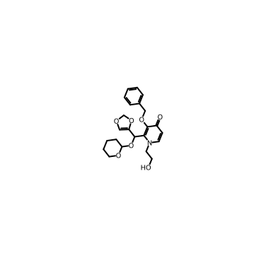 O=c1ccn(CCO)c(C(OC2CCCCO2)C2=COCO2)c1OCc1ccccc1